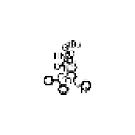 CC(C)(C)OC(=O)N[C@@H]1C(=O)N2C(C(=O)OC(c3ccccc3)c3ccccc3)=C(C=CSc3ccccn3)CS[C@@H]12